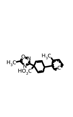 Cc1nc(C2(C(=O)O)C=CC(c3ccccc3C)C=C2)no1